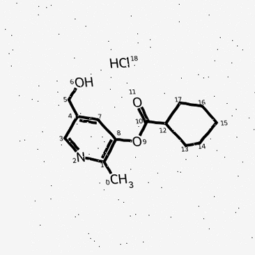 Cc1ncc(CO)cc1OC(=O)C1CCCCC1.Cl